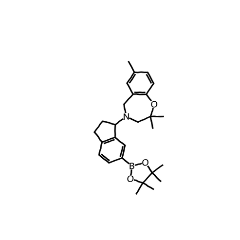 Cc1ccc2c(c1)CN(C1CCc3ccc(B4OC(C)(C)C(C)(C)O4)cc31)CC(C)(C)O2